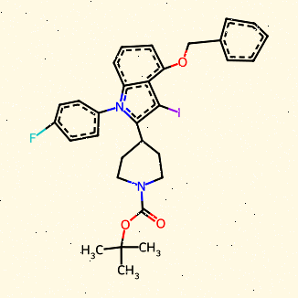 CC(C)(C)OC(=O)N1CCC(c2c(I)c3c(OCc4ccccc4)cccc3n2-c2ccc(F)cc2)CC1